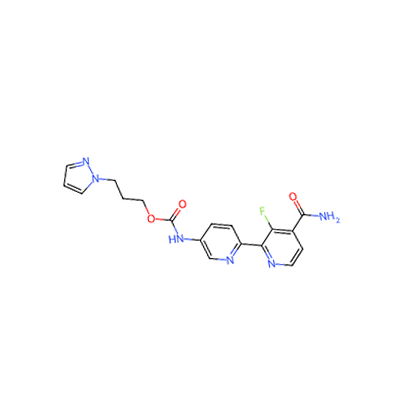 NC(=O)c1ccnc(-c2ccc(NC(=O)OCCCn3cccn3)cn2)c1F